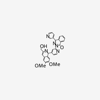 COc1cc2cc(CO)nc(-c3ccnc(-n4nc(-c5cccnc5)c5ccccc5c4=O)c3)c2cc1OC